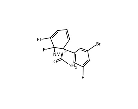 CCC1=CC=C[C@@](C(N)=O)(c2cc(F)cc(Br)c2)C1(F)NC